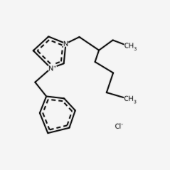 CCCCC(CC)Cn1cc[n+](Cc2ccccc2)c1.[Cl-]